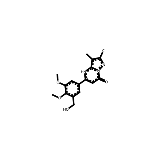 COc1cc(-c2cc(=O)n3nc(Cl)c(C)c3[nH]2)cc(CO)c1OC